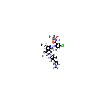 Cc1cc([C@@H](C)Nc2ccc(Cl)nc2C(=O)NS(C)(=O)=O)c2nc(N3C[C@@H]4C(c5ccn(C(F)F)n5)[C@@H]4C3)n(C)c(=O)c2c1